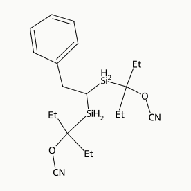 CCC(CC)(OC#N)[SiH2]C(Cc1ccccc1)[SiH2]C(CC)(CC)OC#N